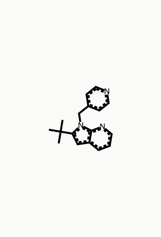 CC(C)(C)c1cc2cccnc2n1Cc1ccncc1